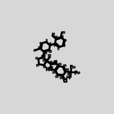 CC1=CCC(c2cccc(C)c2C)[C]=C1N1CCC[C@@]1(C)c1nc2cc(C(F)(F)F)c(Cl)cc2[nH]1